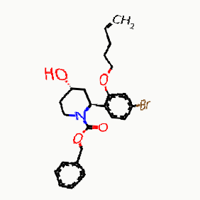 C=CCCCOc1cc(Br)ccc1[C@@H]1C[C@@H](O)CCN1C(=O)OCc1ccccc1